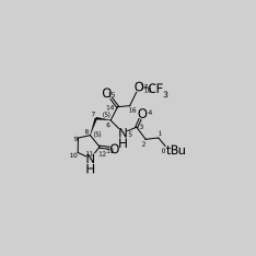 CC(C)(C)CCC(=O)N[C@@H](C[C@@H]1CCNC1=O)C(=O)COC(F)(F)F